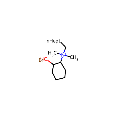 CCCCCCCC[N+](C)(C)C1CCCCC1O.[Br-]